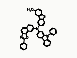 CC1C=Cc2sc3ccc(N(c4ccc5ccc6nc(-c7ccccc7)oc6c5c4)c4ccc5c6ccccc6n(-c6ccccc6)c5c4)cc3c2C1